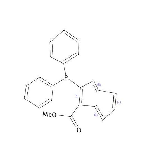 COC(=O)C1=C(P(c2ccccc2)c2ccccc2)/C=C/C=C\C=C\1